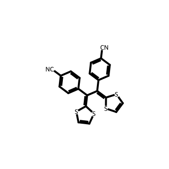 N#Cc1ccc(C(=C2SC=CS2)C(=C2SC=CS2)c2ccc(C#N)cc2)cc1